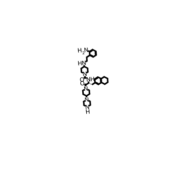 Nc1ccccc1CCNC1CCN(C(=O)N[C@H](Cc2ccc3c(c2)CCCC3)C(=O)N2CCC(N3CCNCC3)CC2)CC1